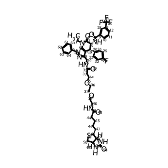 CCN1C(=O)[C@@H](NC(=O)c2cccc(C(F)(F)F)c2)[C@@H](c2ccc(F)cc2)c2c(CNC(=O)CCOCCOCCNC(=O)CCCC[C@@H]3SC[C@@H]4NC(=O)N[C@@H]43)nn(-c3ccccc3)c21